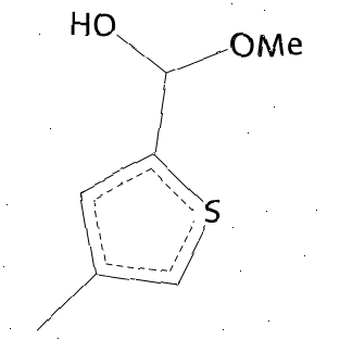 COC(O)c1cc(C)cs1